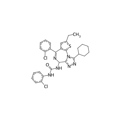 CCc1cc2c(s1)-n1c(C3CCCCC3)nnc1C(NC(=O)Nc1ccccc1Cl)N=C2c1ccccc1Cl